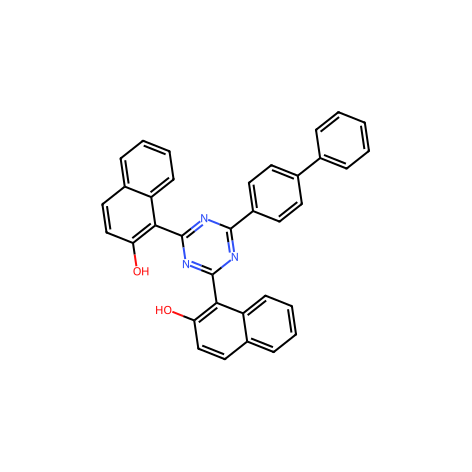 Oc1ccc2ccccc2c1-c1nc(-c2ccc(-c3ccccc3)cc2)nc(-c2c(O)ccc3ccccc23)n1